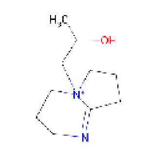 CC(O)C[N+]12CCCN=C1CCC2